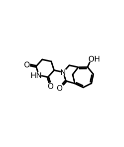 O=C1CCC(N2CC3=C(O)C=CC=C(C3)C2=O)C(=O)N1